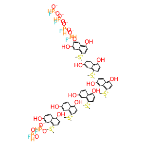 C[S+](C)c1ccc(O)c2ccc(O)cc12.C[S+](C)c1ccc(O)c2ccc(O)cc12.C[S+](C)c1ccc(O)c2ccc(O)cc12.C[S+](C)c1ccc(O)c2ccc(O)cc12.C[S+](C)c1ccc(O)c2ccc(O)cc12.C[S+](C)c1ccc(O)c2ccc(O)cc12.O=[PH]([O-])F.O=[PH]([O-])F.O=[PH]([O-])F.O=[PH]([O-])F.O=[PH]([O-])F.O=[PH]([O-])F